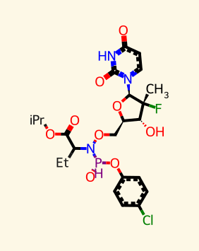 CCC(C(=O)OC(C)C)N(OC[C@H]1O[C@@H](n2ccc(=O)[nH]c2=O)[C@](C)(F)[C@@H]1O)[PH](=O)Oc1ccc(Cl)cc1